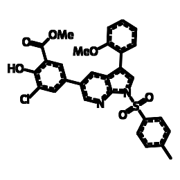 COC(=O)c1cc(-c2cnc3c(c2)c(-c2ccccc2OC)cn3S(=O)(=O)c2ccc(C)cc2)cc(Cl)c1O